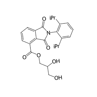 CC(C)c1cccc(C(C)C)c1N1C(=O)c2cccc(C(=O)OCC(O)CO)c2C1=O